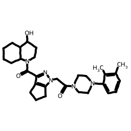 Cc1cccc(N2CCN(C(=O)Cn3nc(C(=O)N4CCC(O)C5CCCCC54)c4c3CCC4)CC2)c1C